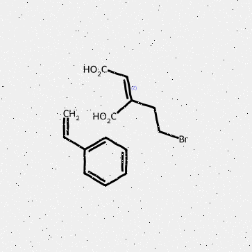 C=Cc1ccccc1.O=C(O)/C=C(/CCBr)C(=O)O